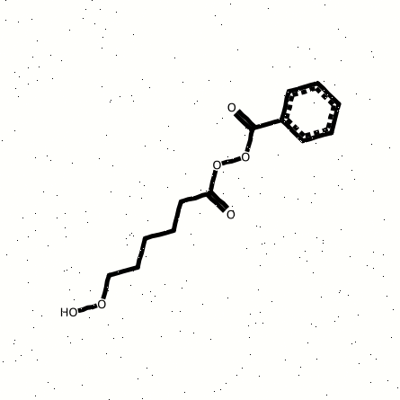 O=C(CCCCCOO)OOC(=O)c1ccccc1